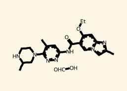 CCOc1cc2nc(C)cn2cc1C(=O)Nc1cc(C)c(N2CCNC(C)C2)nn1.O=CO